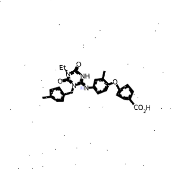 CCn1c(=O)[nH]/c(=N\c2ccc(Oc3ccc(C(=O)O)cc3)c(C)c2)n(Cc2ccc(C)cc2)c1=O